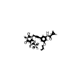 CCCOc1cc(C#CCn2c(=O)n(C)c(=O)c3c2nc(S(C)(=O)=O)n3C)cc(NC(=O)C2CC2)c1